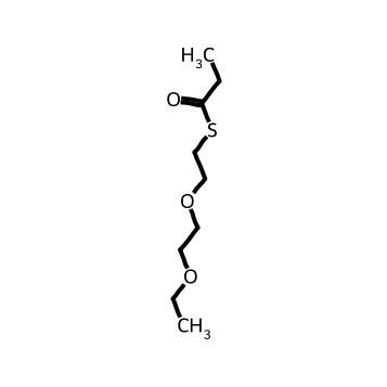 CCOCCOCCSC(=O)CC